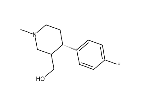 CN1CC[C@H](c2ccc(F)cc2)C(CO)C1